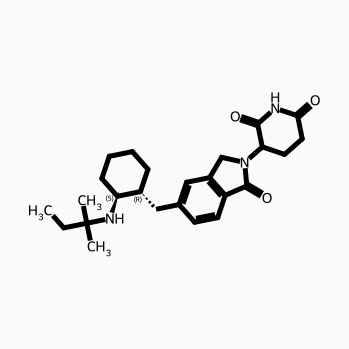 CCC(C)(C)N[C@H]1CCCC[C@@H]1Cc1ccc2c(c1)CN(C1CCC(=O)NC1=O)C2=O